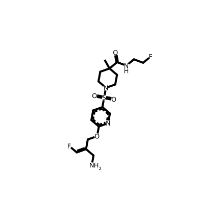 CC1(C(=O)NCCF)CCN(S(=O)(=O)c2ccc(OC/C(=C\F)CN)nc2)CC1